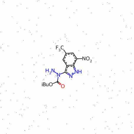 CC(C)COC(=O)N(N)c1n[nH]c2c([N+](=O)[O-])cc(C(F)(F)F)cc12